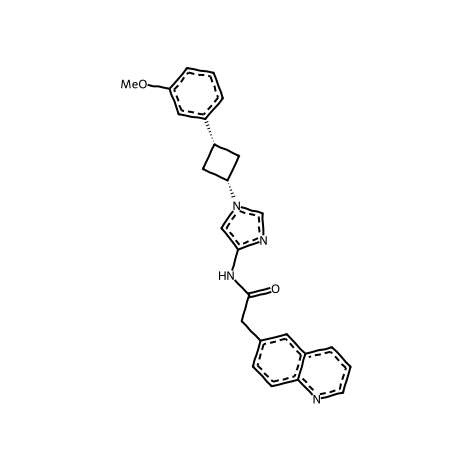 COc1cccc([C@H]2C[C@@H](n3cnc(NC(=O)Cc4ccc5ncccc5c4)c3)C2)c1